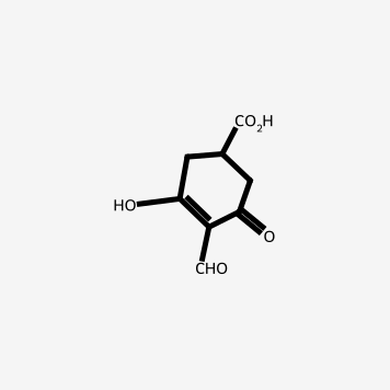 O=CC1=C(O)CC(C(=O)O)CC1=O